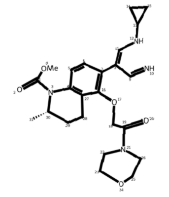 COC(=O)N1c2ccc(/C(C=N)=C/NC3CC3)c(OCC(=O)N3CCOCC3)c2CC[C@@H]1C